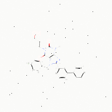 Cn1c(=O)n(CCCO)c(=O)c2c1nc(-c1cccc(-c3ccccc3)c1)n2CC1C=CC(F)=CC1